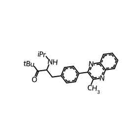 Cc1nc2ccccc2nc1-c1ccc(CC(NC(C)C)C(=O)C(C)(C)C)cc1